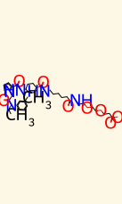 CCN(C(=O)Cn1cccc1C(=O)N[C@H]1CC[C@H](C(=O)NCCCCCC(=O)NCCOCCOCCC(=O)O)CC1)c1cccc(C)c1